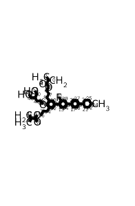 C=C(C)C(=O)OCCCc1cc(-c2ccc(-c3ccc(C4CCC(C)CC4)cc3)cc2F)cc(CCCOC(=O)C(=C)C)c1OCCC(CO)CO